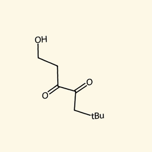 CC(C)(C)CC(=O)C(=O)CCO